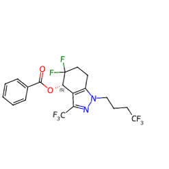 O=C(O[C@H]1c2c(C(F)(F)F)nn(CCCC(F)(F)F)c2CCC1(F)F)c1ccccc1